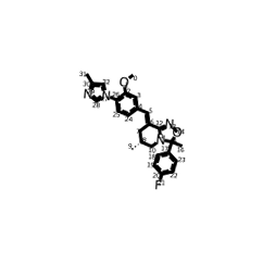 COc1cc(C=C2C[C@@H](C)CN3C2=NOC3(C)c2ccc(F)cc2)ccc1-n1cnc(C)c1